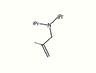 C=C(C)CN(C(C)C)C(C)C